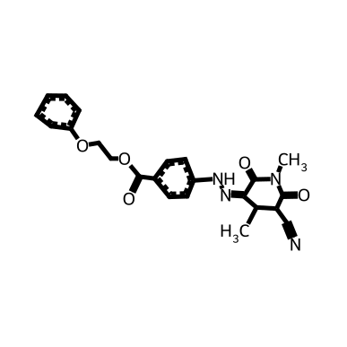 CC1/C(=N/Nc2ccc(C(=O)OCCOc3ccccc3)cc2)C(=O)N(C)C(=O)C1C#N